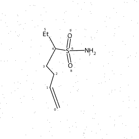 C=CCCC(CC)S(N)(=O)=O